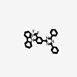 FC(F)(F)c1cc(-c2nc(-c3ccccc3)nc(-c3ccccc3)n2)ccc1-n1c2ccccc2c2ccccc21